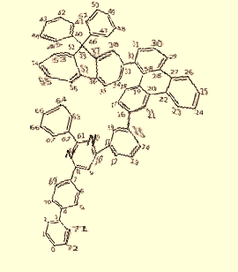 c1ccc(-c2ccc(-c3cc(-c4cccc(-c5ccc6c(c5)c5ccccc5c5cccc(-c7ccc8c(c7)C(c7ccccc7)(c7ccccc7)c7ccccc7-8)c56)c4)nc(-c4ccccc4)n3)cc2)cc1